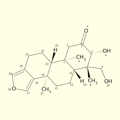 C[C@]12CC(=O)[C@H](O)[C@](C)(CO)[C@@H]1CC[C@@]1(C)c3cocc3CC[C@H]21